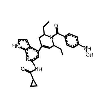 CCC1C=C(c2cc(NC(=O)C3CC3)nc3[nH]ccc23)CC(CC)N1C(=O)c1ccc(NO)cc1